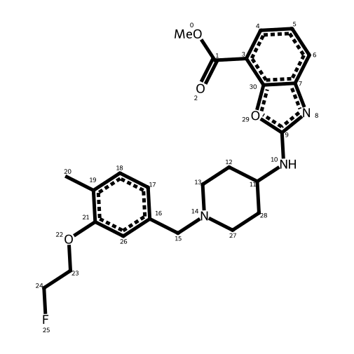 COC(=O)c1cccc2nc(NC3CCN(Cc4ccc(C)c(OCCF)c4)CC3)oc12